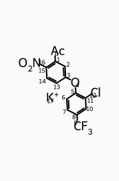 CC(=O)c1cc(Oc2ccc(C(F)(F)F)cc2Cl)ccc1[N+](=O)[O-].[K+]